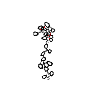 CC1(Cc2ccc(N(c3ccccc3)c3cccc(-c4ccc5c(c4)-c4ccccc4C54c5ccccc5-c5cc(N6c7ccccc7Sc7ccccc76)ccc54)c3)cc2)c2ccccc2N(c2ccc3c(c2)-c2ccccc2C32c3ccccc3-c3cccc(-c4cccc(N(c5ccccc5)c5ccc6c(c5)sc5ccccc56)c4)c32)c2ccccc21